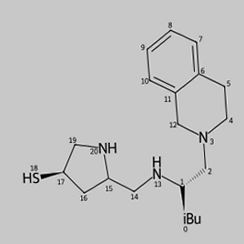 CC[C@H](C)[C@@H](CN1CCc2ccccc2C1)NCC1C[C@@H](S)CN1